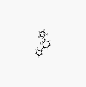 C1=CC(c2ccc[se]2)[Se]C(c2ccc[se]2)C1